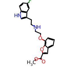 COC(=O)c1cc2cccc(OCCNCCc3c[nH]c4ccc(F)cc34)c2o1